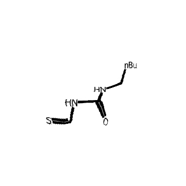 CCCCCNC(=O)NC=S